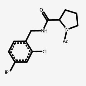 CC(=O)N1CCCC1C(=O)NCc1ccc(C(C)C)cc1Cl